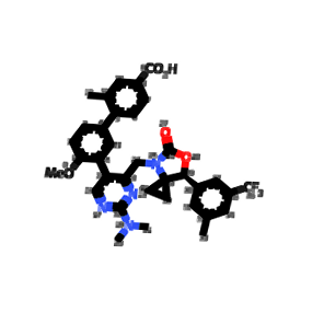 COc1ccc(-c2ccc(C(=O)O)cc2C)cc1-c1cnc(N(C)C)nc1CN1C(=O)O[C@@H](c2cc(C)cc(C(F)(F)F)c2)C12CC2